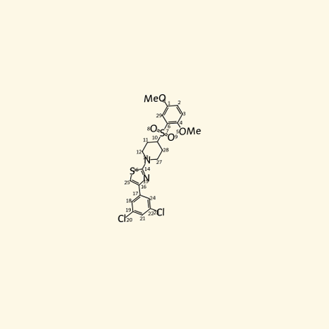 COc1ccc(OC)c(S(=O)(=O)C2CCN(c3nc(-c4cc(Cl)cc(Cl)c4)cs3)CC2)c1